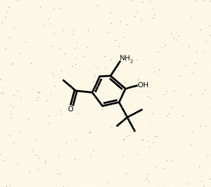 CC(=O)c1cc(N)c(O)c(C(C)(C)C)c1